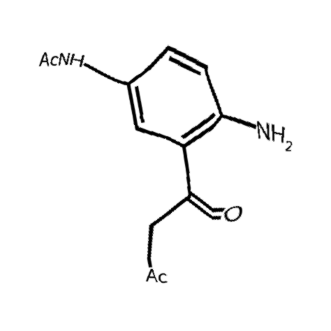 CC(=O)CC(=O)c1cc(NC(C)=O)ccc1N